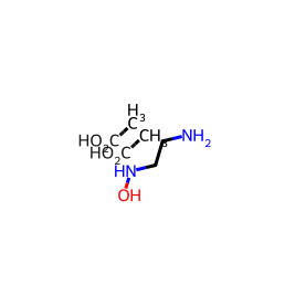 CC(=O)O.CC(=O)O.NCCNO